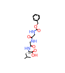 CC(C)C[C@H](NC(=O)CNC(=O)CNC(=O)OCc1ccccc1)C(=O)O